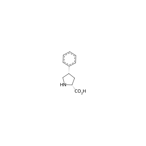 O=C(O)[C@H]1C[C@@H](c2ccccc2)CN1